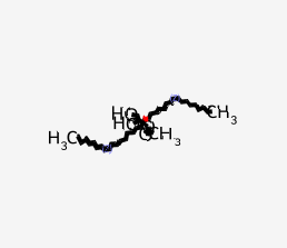 CCCCCCCC/C=C\CCCCCCCCC(CCCCCCCC/C=C\CCCCCCCC)(OC(C)=O)C(O)CO